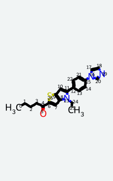 CCCCC(=O)c1cc2c(cc(-c3ccc(-n4ccnc4)cc3)n2CC)s1